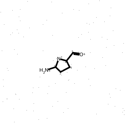 NC1CCC(C=O)[N]1